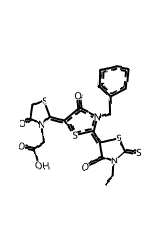 CCN1C(=O)/C(=c2\s/c(=C3/SCC(=O)N3CC(=O)O)c(=O)n2Cc2ccccc2)SC1=S